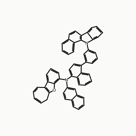 C1=CCc2oc3c(N(c4ccc5ccccc5c4)c4ccc(-c5cccc(-n6c7ccccc7c7ccc8ccccc8c76)c5)c5ccccc45)cccc3c2C=C1